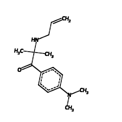 C=CCNC(C)(C)C(=O)c1ccc(N(C)C)cc1